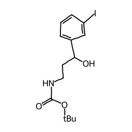 CC(C)(C)OC(=O)NCCC(O)c1cccc(I)c1